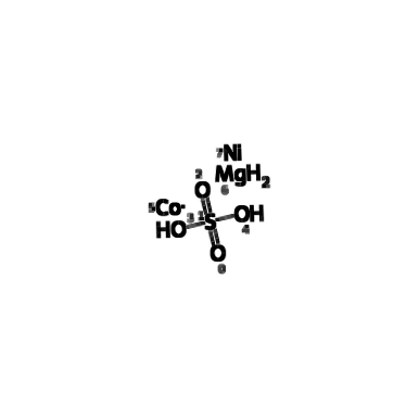 O=S(=O)(O)O.[Co].[MgH2].[Ni]